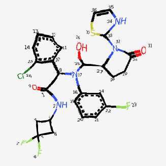 O=C(NC1CC(F)(F)C1)[C@@H](c1ccccc1Cl)N(c1cccc(F)c1)C(O)[C@@H]1CCC(=O)N1C1NC=CS1